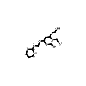 SCSC(CC(SCS)SCSC1SCCCS1)SCS